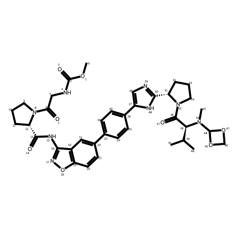 COC(=O)NCC(=O)N1CCC[C@H]1C(=O)Nc1noc2ccc(-c3ccc(-c4cnc([C@@H]5CCCN5C(=O)[C@H](C(C)C)N(C)C5OCO5)[nH]4)cc3)cc12